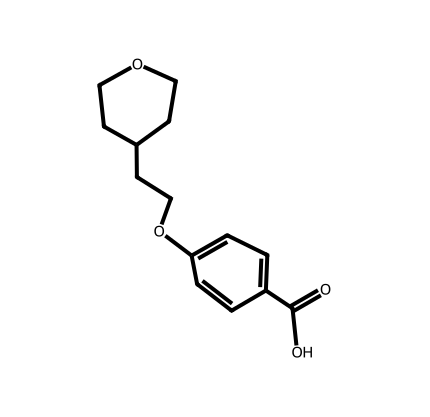 O=C(O)c1ccc(OCCC2CCOCC2)cc1